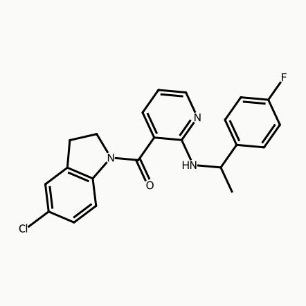 CC(Nc1ncccc1C(=O)N1CCc2cc(Cl)ccc21)c1ccc(F)cc1